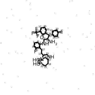 N[C@H](C(=O)Nc1cccc(F)c1CCC1CNC2CCCS(O)(O)N1C2)[C@@H](c1ccc(F)cc1)c1cccc(C(F)(F)F)c1